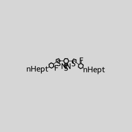 CCCCCCCc1ccc(-c2ccc(-c3ccc(-c4ccc(-c5ccc(CCCCCCC)cc5F)s4)c4nsnc34)s2)c(F)c1